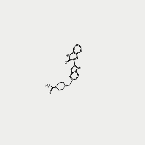 CC(=O)N1CCN(Cc2ccc3[nH]c(-c4cc5ccccc5[nH]c4=O)cc3c2)CC1